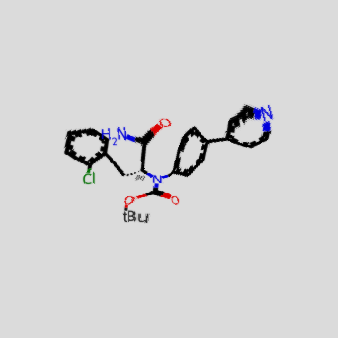 CC(C)(C)OC(=O)N(c1ccc(-c2ccncc2)cc1)[C@H](Cc1ccccc1Cl)C(N)=O